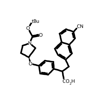 CC(C)(C)OC(=O)N1CC[C@H](Oc2ccc(C(Cc3ccc4ccc(C#N)cc4c3)C(=O)O)cc2)C1